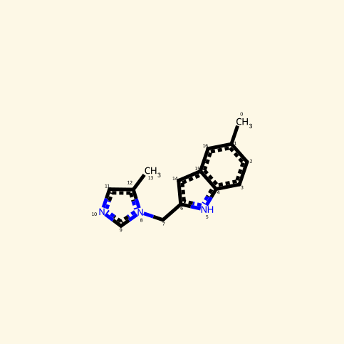 Cc1ccc2[nH]c(Cn3cncc3C)cc2c1